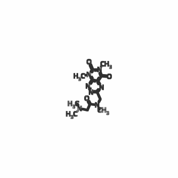 CN(C)CC(=O)N(C)Cc1nnc2c(n1)c(=O)n(C)c(=O)n2C